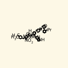 CC(C)c1ccccc1[C@@H]1COCCN1C1CC2(CCN(c3ccc(C(=O)NS(=O)(=O)c4cnc(CC5CCC(C)(C)CC5)c([N+](=O)[O-])c4)c(Oc4cnc5[nH]ccc5c4)c3)CC2)C1